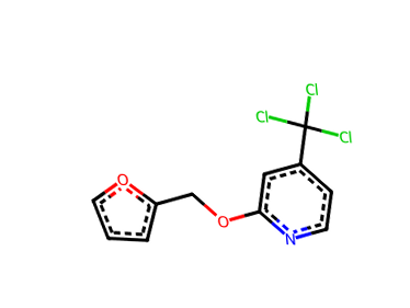 ClC(Cl)(Cl)c1ccnc(OCc2ccco2)c1